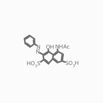 CC(=O)Nc1cc(S(=O)(=O)O)cc2cc(S(=O)(=O)O)c(N=Nc3ccccc3)c(O)c12